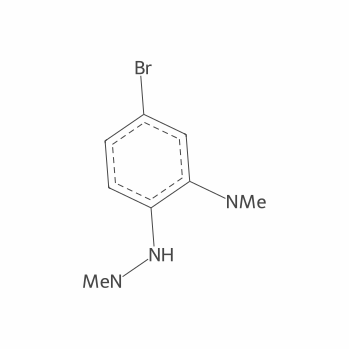 CNNc1ccc(Br)cc1NC